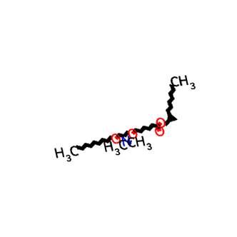 CCCCCCCCCCOCC(COCCCCCC(=O)OCC1CC1CCCCCCCC)N(C)C